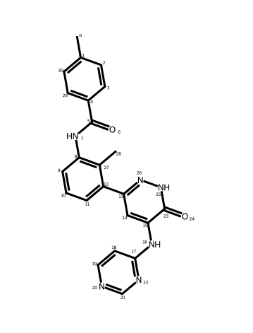 Cc1ccc(C(=O)Nc2cccc(-c3cc(Nc4ccncn4)c(=O)[nH]n3)c2C)cc1